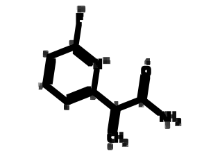 C=C(C(N)=O)c1cccc(F)n1